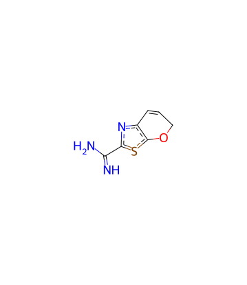 N=C(N)c1nc2c(s1)OCC=C2